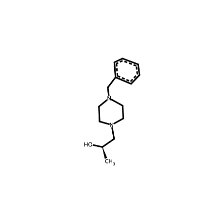 C[C@@H](O)CN1CCN(Cc2ccccc2)CC1